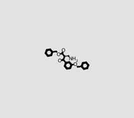 NC[C@H](C(=O)OCc1ccccc1)C(=O)c1cccc(OCc2ccccc2)c1